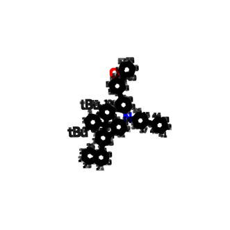 CC(C)(C)c1cccc(C2(c3cccc(C(C)(C)C)c3)c3ccc(-c4cccc5ccccc45)cc3-c3ccc(N(c4ccc(-c5ccccc5)cc4)c4ccc(-c5ccc6oc7ccccc7c6c5)cc4)cc32)c1